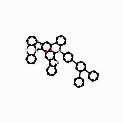 c1ccc(-c2ccc(-c3ccc(N(c4ccccc4-c4ccc5c(c4)c4cccc6c4n5-c4ccccc4O6)c4cccc5c4sc4ccccc45)cc3)cc2-c2ccccc2)cc1